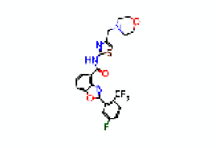 O=C(Nc1nc(CN2CCOCC2)cs1)c1cccc2oc(-c3cc(F)ccc3C(F)(F)F)nc12